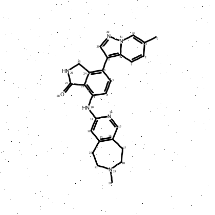 Cc1ccc2c(-c3ccc(Nc4cc5c(cn4)CCN(C)CC5)c4c3CNC4=O)cnn2c1